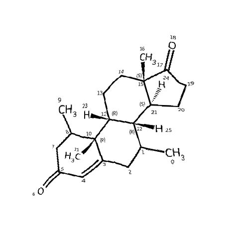 CC1CC2=CC(=O)CC(C)[C@]2(C)[C@@H]2CC[C@]3(C)C(=O)CC[C@H]3[C@H]12